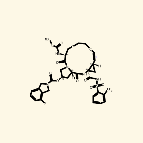 CC(C)(C)OC(=O)N[C@H]1CCCCC/C=C\[C@@H]2C[C@@]2(C(=O)NS(=O)(=O)c2ccccc2C(F)(F)F)NC(=O)[C@@H]2C[C@@H](OC(=O)N3Cc4cccc(F)c4C3)CN2C1=O